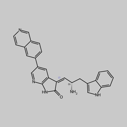 N[C@H](/C=C1\C(=O)Nc2ncc(-c3ccc4cnccc4c3)cc21)Cc1c[nH]c2ccccc12